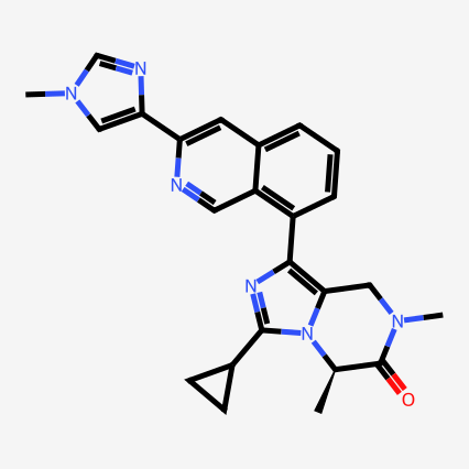 C[C@@H]1C(=O)N(C)Cc2c(-c3cccc4cc(-c5cn(C)cn5)ncc34)nc(C3CC3)n21